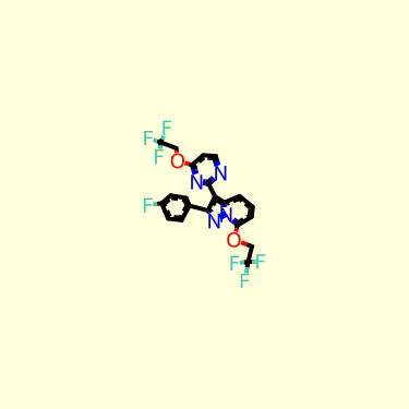 Fc1ccc(-c2nn3c(OCC(F)(F)F)cccc3c2-c2nccc(OCC(F)(F)F)n2)cc1